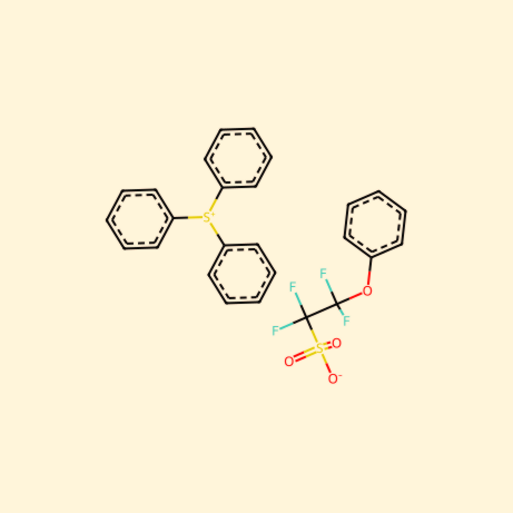 O=S(=O)([O-])C(F)(F)C(F)(F)Oc1ccccc1.c1ccc([S+](c2ccccc2)c2ccccc2)cc1